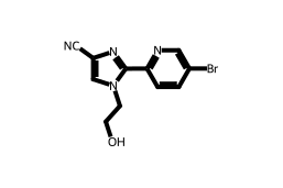 N#Cc1cn(CCO)c(-c2ccc(Br)cn2)n1